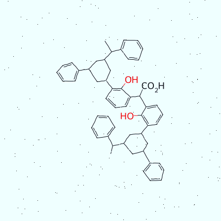 CC(c1ccccc1)C1CC(c2ccccc2)CC(c2cccc(C(C(=O)O)c3cccc(C4CC(c5ccccc5)CC(C(C)c5ccccc5)C4)c3O)c2O)C1